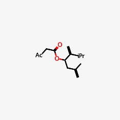 C=C(C)CC(OC(=O)CC(C)=O)C(=C)C(C)C